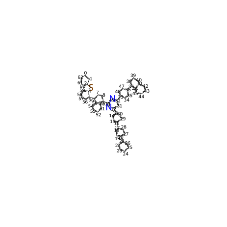 C1=CC2Sc3c(-c4ccc(-c5nc(-c6ccc(-c7ccc(-c8ccccc8)cc7)cc6)cc(-c6ccc(-c7cccc8ccccc78)cc6)n5)c5ccccc45)cccc3C2C=C1